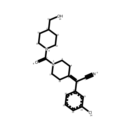 N#CC(=C1CCN(C(=O)N2CCC(CO)CC2)CC1)c1cccc(Cl)c1